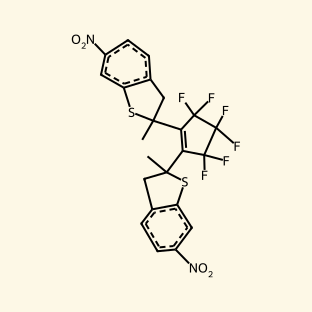 CC1(C2=C(C3(C)Cc4ccc([N+](=O)[O-])cc4S3)C(F)(F)C(F)(F)C2(F)F)Cc2ccc([N+](=O)[O-])cc2S1